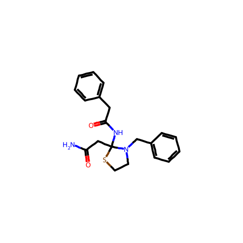 NC(=O)CC1(NC(=O)Cc2ccccc2)SCCN1Cc1ccccc1